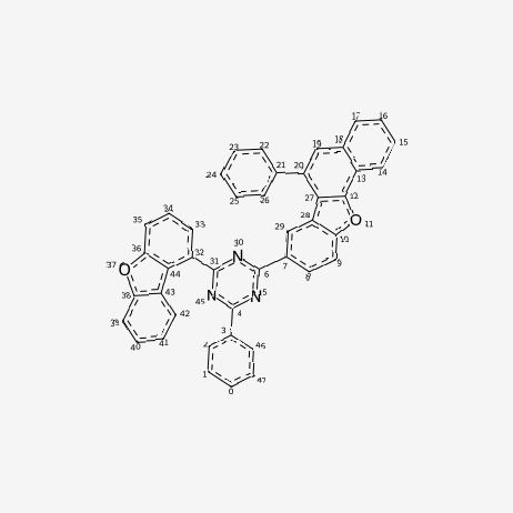 c1ccc(-c2nc(-c3ccc4oc5c6ccccc6cc(-c6ccccc6)c5c4c3)nc(-c3cccc4oc5ccccc5c34)n2)cc1